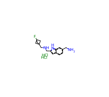 Cl.Cl.NCc1ccc2cc(CNCC34CC(F)(C3)C4)[nH]c2c1